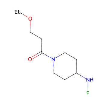 CCOCCC(=O)N1CCC(NF)CC1